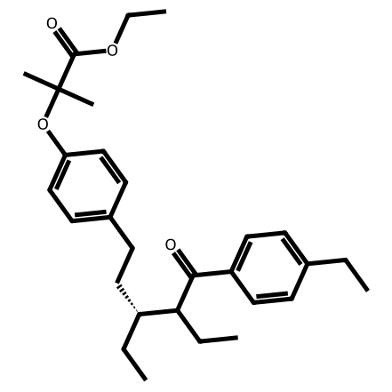 CCOC(=O)C(C)(C)Oc1ccc(CC[C@@H](CC)C(CC)C(=O)c2ccc(CC)cc2)cc1